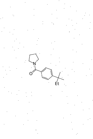 CCC(C)(C)c1ccc(C(=O)N2CCCC2)cc1